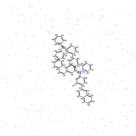 Cc1cc(N(c2ccc3c(ccc4ccccc43)c2)c2ccccc2-c2cccc(-c3cccc4c3c3ccccc3n4-c3ccccc3)c2)ccc1-c1ccc2ccccc2c1